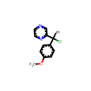 CC(C)C(Cl)(c1ccc(OC(F)(F)F)cc1)c1cnccn1